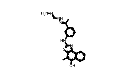 CC(=NNC=NN)c1cccc(Nc2nc3c(s2)c(C)c(O)c2ccccc23)c1